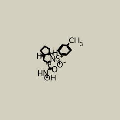 Cc1ccc([S+]([O-])N2[C@@H](C(=O)NO)C[C@H]3CCC[C@H]32)cc1